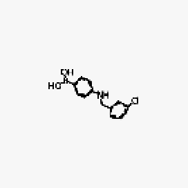 OB(O)c1ccc(NCc2cccc(Cl)c2)cc1